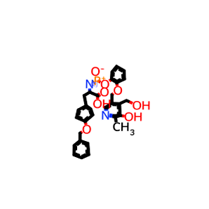 Cc1ncc(COc2ccccc2O/[P+]([O-])=N\C(Cc2ccc(OCc3ccccc3)cc2)C(=O)O)c(CO)c1O